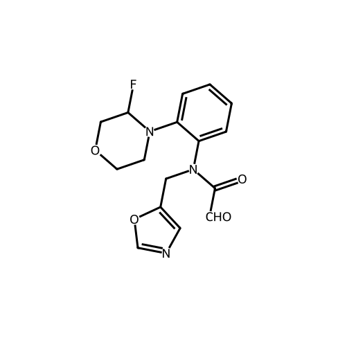 O=CC(=O)N(Cc1cnco1)c1ccccc1N1CCOCC1F